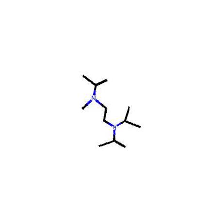 CC(C)N(C)CCN(C(C)C)C(C)C